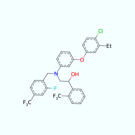 CCc1cc(Oc2cccc(N(Cc3ccc(C(F)(F)F)cc3F)CC(O)c3ccccc3C(F)(F)F)c2)ccc1Cl